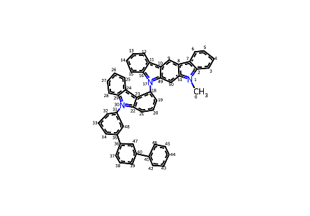 Cn1c2ccccc2c2cc3c4ccccc4n(-c4cccc5c4c4ccccc4n5-c4cccc(-c5cccc(-c6ccccc6)c5)c4)c3cc21